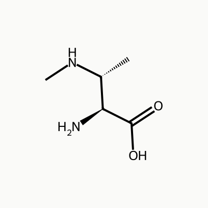 CN[C@H](C)[C@H](N)C(=O)O